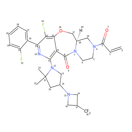 C=CC(=O)N1CCN2C(=O)c3c(N4CC(N5CC(C(F)(F)F)C5)CC4(C)C)nc(-c4ccccc4F)c(F)c3OC[C@H]2C1